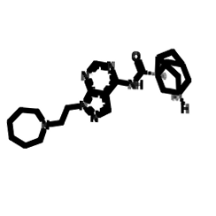 O=C(Nc1ncnc2c1cnn2CCN1CCCCCC1)[C@@]12CC3CC1C[C@@H](C3)C2